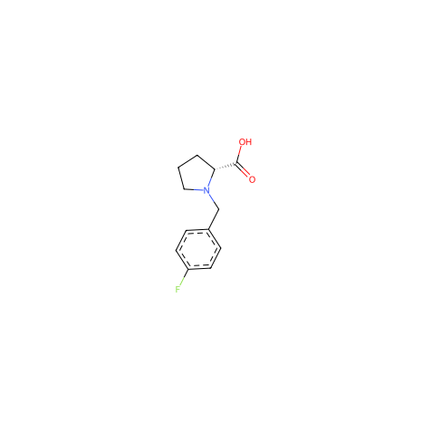 O=C(O)[C@H]1CCCN1Cc1ccc(F)cc1